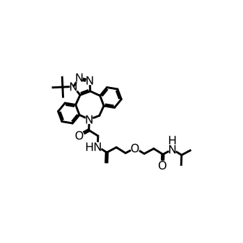 C=C(CCOCCC(=O)NC(C)C)NCC(=O)N1Cc2ccccc2-c2nnn(C(C)(C)C)c2-c2ccccc21